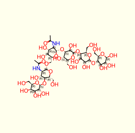 CC(=O)N[C@H]1[C@H](OC[C@H]2O[C@@H](O[C@H]3[C@@H](O)[C@@H](CO)O[C@H](O[C@@H]4[C@H](O)[C@@H](O)[C@H](O[C@H]5[C@H](O)[C@@H](O)[C@H](O)O[C@@H]5CO)O[C@@H]4CO)[C@@H]3O)[C@H](NC(C)=O)[C@@H](O)[C@H]2O)O[C@H](CO)[C@@H](O[C@@H]2O[C@H](CO)[C@H](O)[C@H](O)[C@H]2O)[C@@H]1O